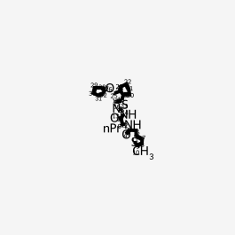 CCCC(NC(=O)Cc1ccc(C)s1)C(=O)Nc1ncc(-c2ccccc2COc2ccccc2)s1